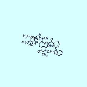 COC1=C(C)C(=O)C2=C(C1=O)[C@H](CNC(=O)C(C)NC(=S)Nc1ccccc1)N1C(C2)[C@H]2c3c(cc(C)c(OC)c3O)C[C@@H]([C@@H]1C#N)N2C